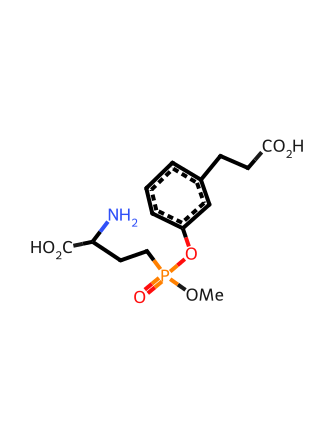 COP(=O)(CCC(N)C(=O)O)Oc1cccc(CCC(=O)O)c1